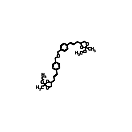 COC1(C)OCC(CC=Cc2ccc(COCc3ccc(C=CCC4COC(C)(OC)O4)cc3)cc2)O1